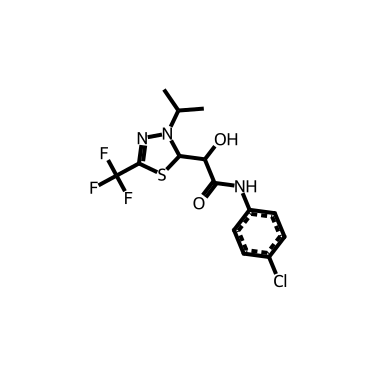 CC(C)N1N=C(C(F)(F)F)SC1C(O)C(=O)Nc1ccc(Cl)cc1